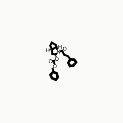 O=C(OCc1ccccc1)O[C@H]1C[C@@H]2CCC[C@@H]2N1C(=O)CCc1ccccc1